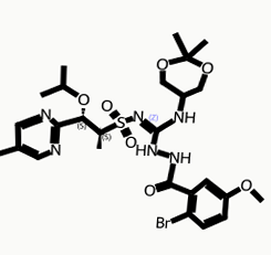 COc1ccc(Br)c(C(=O)NN/C(=N\S(=O)(=O)[C@@H](C)[C@@H](OC(C)C)c2ncc(C)cn2)NC2COC(C)(C)OC2)c1